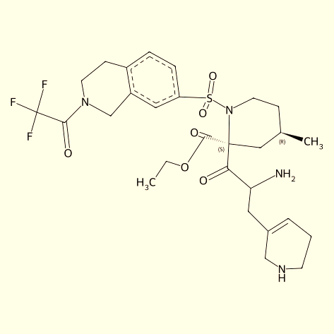 CCOC(=O)[C@@]1(C(=O)C(N)CC2=CCCNC2)C[C@H](C)CCN1S(=O)(=O)c1ccc2c(c1)CN(C(=O)C(F)(F)F)CC2